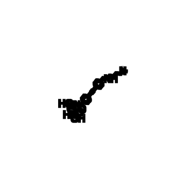 C[C@@H](O)[C@H](NC(=O)c1ccc(C#Cc2ccc(CNCCCCN(C)C)cc2)cc1)C(=O)NO